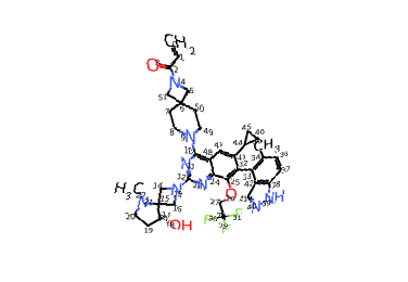 C=CC(=O)N1CC2(CCN(c3nc(N4CC5(C4)[C@H](O)CCN5C)nc4c(OCC(F)(F)F)c(-c5c(C)ccc6[nH]ncc56)c(C5CC5)cc34)CC2)C1